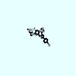 CNCC1CCN(c2nc3c(cc2F)-n2cnnc2-c2cc(-c4ccc(C#N)cc4)cn2C3)C1